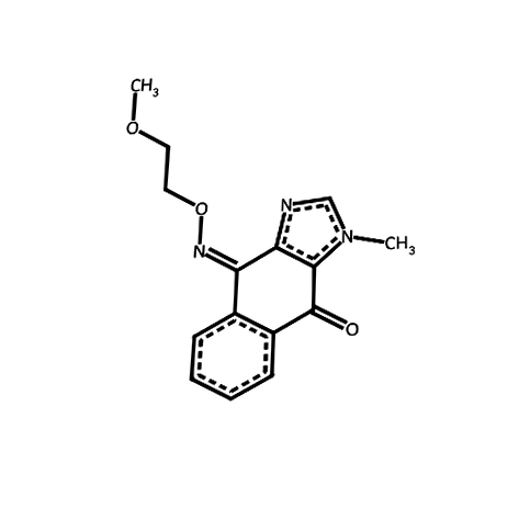 COCCON=C1c2ccccc2C(=O)c2c1ncn2C